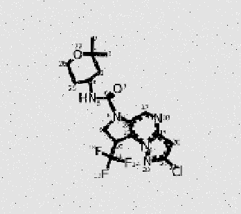 CC1(C)CC(NC(=O)N2CC(C(F)(F)F)c3c2cnc2cc(Cl)nn32)CCO1